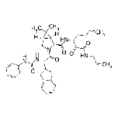 C=CCCC(NC(=O)[C@@H]1[C@H]2[C@@H](CN1C(=O)[C@@H](NC(=O)Nc1ccccc1)C1Cc3ccccc3C1)C2(C)C)C(=O)C(=O)NCC=C